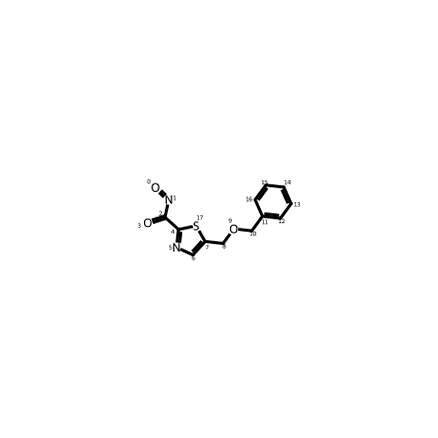 O=NC(=O)c1ncc(COCc2ccccc2)s1